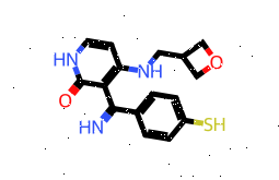 N=C(c1ccc(S)cc1)c1c(NCC2COC2)cc[nH]c1=O